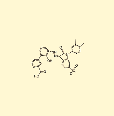 Cc1ccc(N2C(=O)/C(=N\Nc3cccc(-c4cccc(C(=O)O)c4)c3O)c3ccc(S(C)(=O)=O)cc32)cc1C